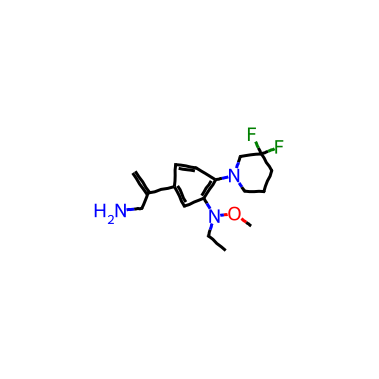 C=C(CN)c1ccc(N2CCCC(F)(F)C2)c(N(CC)OC)c1